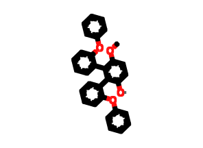 COc1ccc([O])c(-c2ccccc2Oc2ccccc2)c1-c1ccccc1Oc1ccccc1